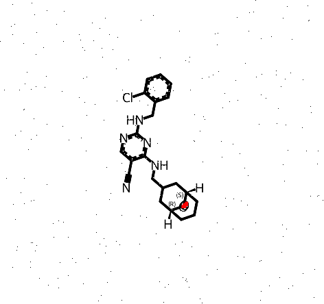 N#Cc1cnc(NCc2ccccc2Cl)nc1NCC1C[C@H]2CCC[C@@H](C1)C21OCCO1